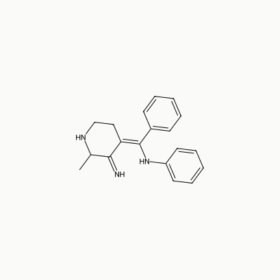 CC1NCC/C(=C(/Nc2ccccc2)c2ccccc2)C1=N